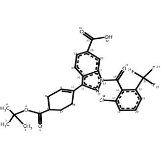 CC(C)(C)OC(=O)C1CC=C(c2nn(C(=O)c3c(Cl)cccc3C(F)(F)F)c3cc(C(=O)O)ccc23)CC1